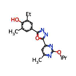 CCc1cc(-c2nnc(-c3cc(C)nc(OC(C)C)n3)o2)cc(C)c1O